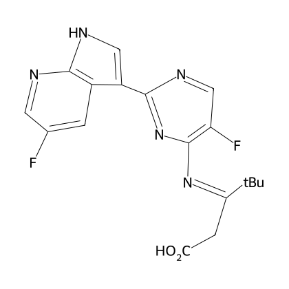 CC(C)(C)/C(CC(=O)O)=N\c1nc(-c2c[nH]c3ncc(F)cc23)ncc1F